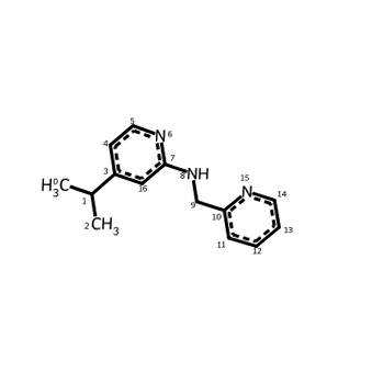 CC(C)c1ccnc(NCc2ccccn2)c1